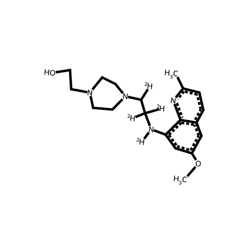 [2H]C(N1CCN(CCO)CC1)C([2H])([2H])N([2H])c1cc(OC)cc2ccc(C)nc12